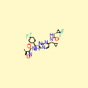 Cc1conc1C(=O)N[C@H](c1cn2ccc([C@H](NC(=O)C[C@H]3CC3(F)F)C3CC3)nc2n1)C1CCC(F)(F)CC1